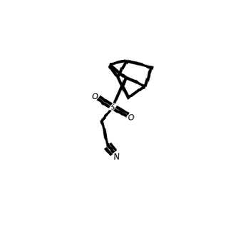 N#CCS(=O)(=O)C1C2CC3C(C2)C31